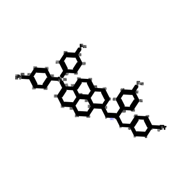 CC(C)c1ccc(C/C(=C/c2ccc3ccc4c(N(c5ccc(F)cc5)c5ccc(C(C)C)cc5)ccc5ccc2c3c54)c2ccc(F)cc2)cc1